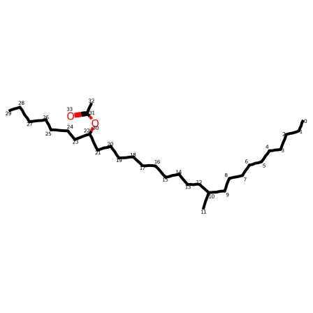 CCCCCCCCCCC(C)CCCCCCCCCCC(CCCCCCC)OC(C)=O